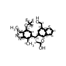 Cc1c([C@@H](CC(=O)O)c2cc(CO)c3sccc3c2)cc(OC(F)(F)F)c2c1nnn2C